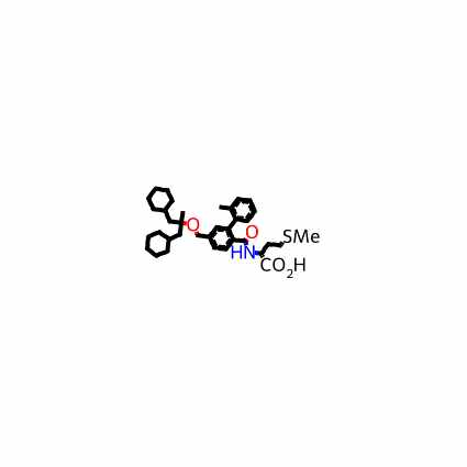 CSCCC(NC(=O)c1ccc(COC(C)(CC2CCCCC2)CC2CCCCC2)cc1-c1ccccc1C)C(=O)O